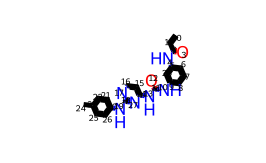 C=CC(=O)Nc1cccc(NC(=O)Nc2ccnc(Nc3ccc(C)cc3)n2)c1